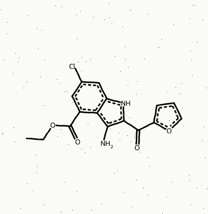 CCOC(=O)c1cc(Cl)cc2[nH]c(C(=O)c3ccco3)c(N)c12